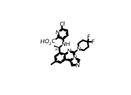 Cc1cc([C@@H](C)Nc2ccc(Cl)nc2C(=O)O)c2nc(N3CCC(F)(F)CC3)n3cncc3c2c1